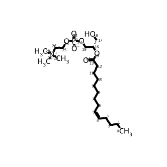 CCCC/C=C\CCCCCCCC(=O)O[C@@H](CO)COP(=O)([O-])OCC[N+](C)(C)C